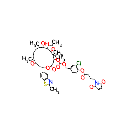 C=CCC1C(=O)C(C)(C)C(OC(=O)OCc2ccc(OC(=O)CCCN3C(=O)C=CC3=O)c(Cl)c2)CC(=O)OC(c2ccc3sc(C)nc3c2)CC2OC2(C)CCCC(C)C1O